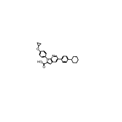 O=C(O)c1cc2cc(-c3ccc(C4CCCCC4)cc3)cnc2n1-c1ccc(OC2CC2)cc1